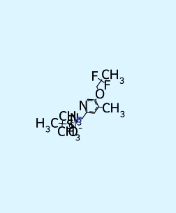 Cc1cc(/C=N/[S@+]([O-])C(C)(C)C)ncc1OCC(C)(F)F